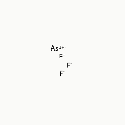 [As+3].[F-].[F-].[F-]